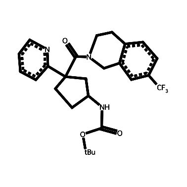 CC(C)(C)OC(=O)NC1CCC(C(=O)N2CCc3ccc(C(F)(F)F)cc3C2)(c2ccccn2)C1